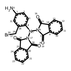 Nc1ccc(N(N2C(=O)c3ccccc3C2=O)N2C(=O)c3ccccc3C2=O)c(CBr)c1